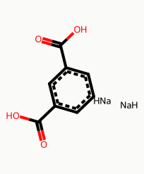 O=C(O)c1cccc(C(=O)O)c1.[NaH].[NaH]